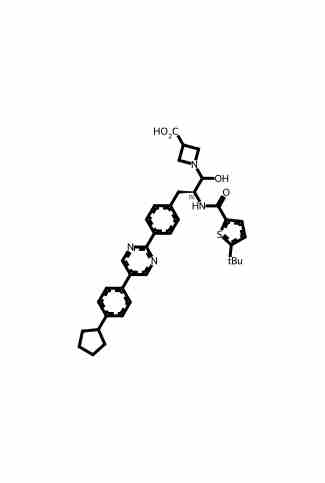 CC(C)(C)c1ccc(C(=O)N[C@@H](Cc2ccc(-c3ncc(-c4ccc(C5CCCC5)cc4)cn3)cc2)C(O)N2CC(C(=O)O)C2)s1